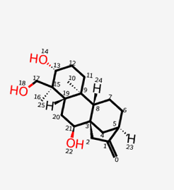 C=C1C[C@]23C[C@H]1CC[C@H]2[C@]1(C)CC[C@@H](O)[C@](C)(CO)[C@H]1C[C@@H]3O